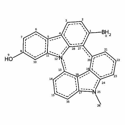 Bc1ccc2c3ccc(O)cc3n3c4cccc5c4c4c(cccc4n5C)c1c23